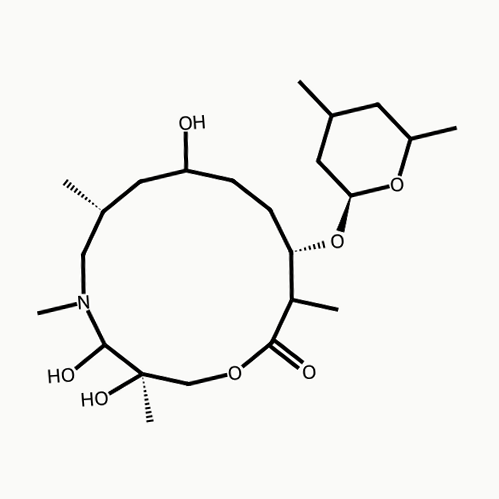 CC1CC(C)O[C@@H](O[C@H]2CCC(O)C[C@@H](C)CN(C)C(O)[C@](C)(O)COC(=O)C2C)C1